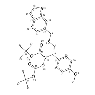 COc1ccc([C@@H](CSCc2cnc3ccsc3c2)N(OC(=O)OC(C)(C)C)C(=O)OC(C)(C)C)cc1